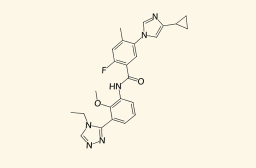 CCn1cnnc1-c1cccc(NC(=O)c2cc(-n3cnc(C4CC4)c3)c(C)cc2F)c1OC